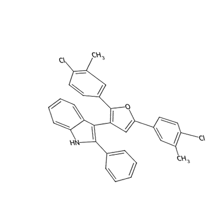 Cc1cc(-c2cc(-c3c(-c4ccccc4)[nH]c4ccccc34)c(-c3ccc(Cl)c(C)c3)o2)ccc1Cl